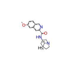 COc1ccc2cnc(C(=O)N[C@@H]3C[C@H]4CCN(C4)C3)cc2c1